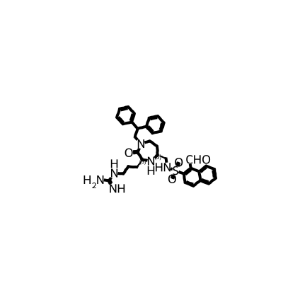 N=C(N)NCCC[C@@H]1N[C@H](CNS(=O)(=O)c2ccc3ccccc3c2C=O)CCN(CC(c2ccccc2)c2ccccc2)C1=O